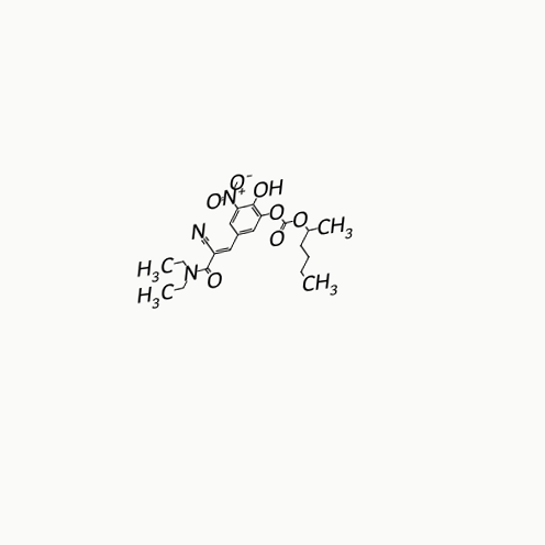 CCCCC(C)OC(=O)Oc1cc(/C=C(\C#N)C(=O)N(CC)CC)cc([N+](=O)[O-])c1O